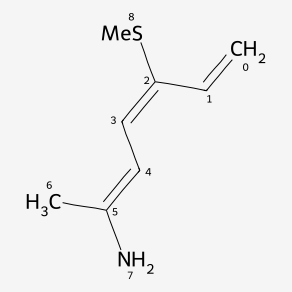 C=C/C(=C\C=C(/C)N)SC